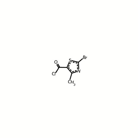 Cc1nc(Br)sc1C(=O)Cl